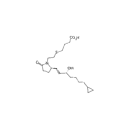 O=C(O)CCCSCCN1C(=O)CC[C@@H]1/C=C/[C@H](O)CCCCC1CC1